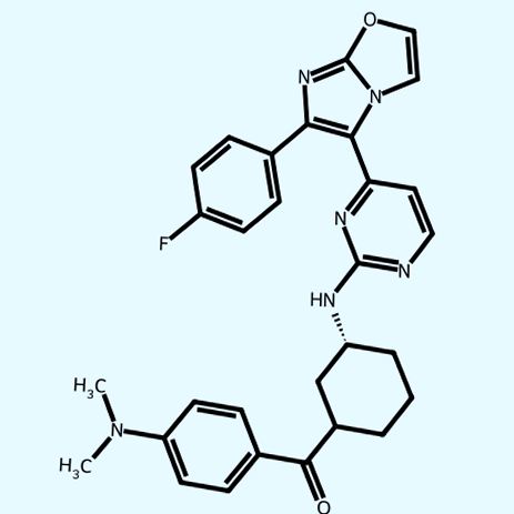 CN(C)c1ccc(C(=O)C2CCC[C@@H](Nc3nccc(-c4c(-c5ccc(F)cc5)nc5occn45)n3)C2)cc1